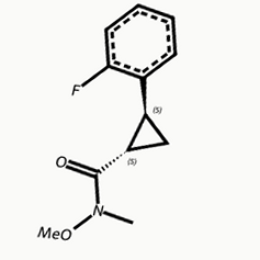 CON(C)C(=O)[C@H]1C[C@@H]1c1ccccc1F